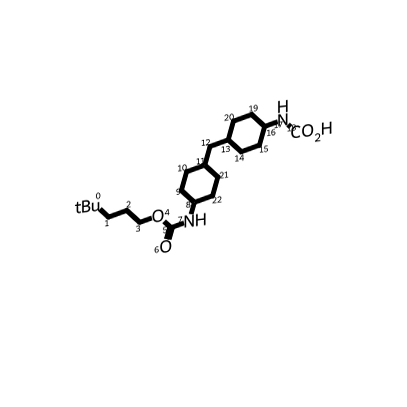 CC(C)(C)CCCOC(=O)NC1CCC(CC2CCC(NC(=O)O)CC2)CC1